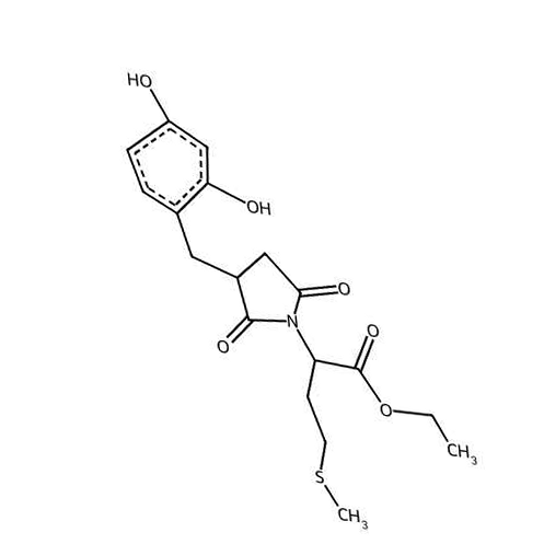 CCOC(=O)C(CCSC)N1C(=O)CC(Cc2ccc(O)cc2O)C1=O